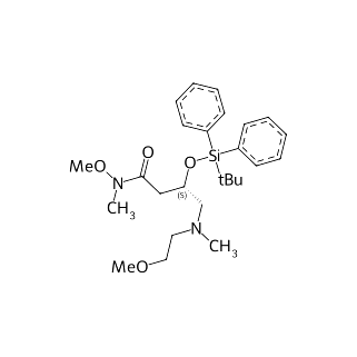 COCCN(C)C[C@H](CC(=O)N(C)OC)O[Si](c1ccccc1)(c1ccccc1)C(C)(C)C